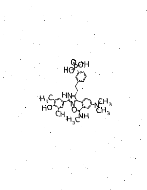 CNC(=O)c1cc(N(C)C)ccc1-c1nc(-c2cc(C)c(O)c(C)c2)[nH]c1CCc1cccc(P(=O)(O)O)c1